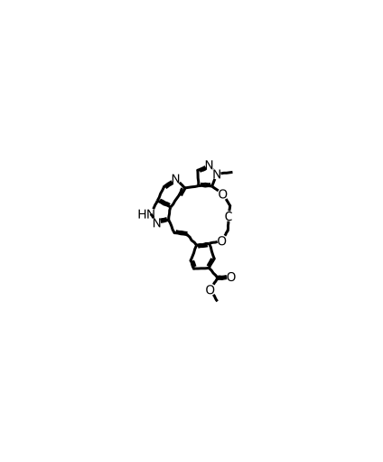 COC(=O)c1ccc2c(c1)OCCCOc1c(cnn1C)-c1cc3c(n[nH]c3cn1)/C=C/2